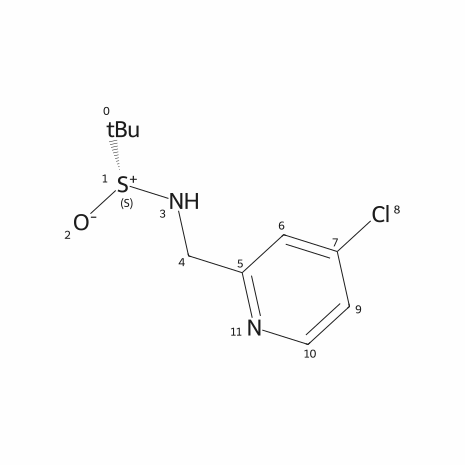 CC(C)(C)[S@@+]([O-])NCc1cc(Cl)ccn1